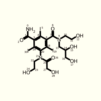 NC(=O)c1c(I)c(C(=O)N(CCO)CC(O)CO)c(I)c(N(CCO)C(=O)CO)c1I